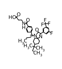 CCC[C@H](c1ccc(C(=O)NCCC(=O)O)cc1)N1C(=O)C(c2cc(F)cc(C(F)(F)F)c2)=NC12CCC(C(C)(C)CC)CC2